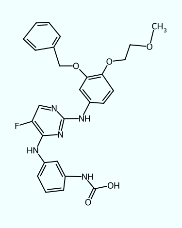 COCCOc1ccc(Nc2ncc(F)c(Nc3cccc(NC(=O)O)c3)n2)cc1OCc1ccccc1